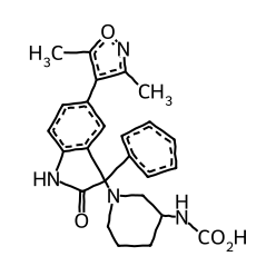 Cc1noc(C)c1-c1ccc2c(c1)C(c1ccccc1)(N1CCCC(NC(=O)O)C1)C(=O)N2